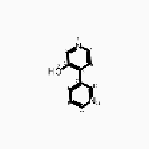 Oc1cnccc1-c1cccnc1